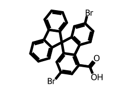 O=C(O)c1cc(Br)cc2c1-c1ccc(Br)cc1C21c2ccccc2-c2ccccc21